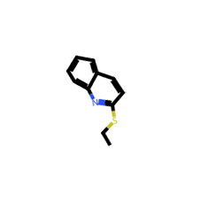 CCSc1[c]cc2ccccc2n1